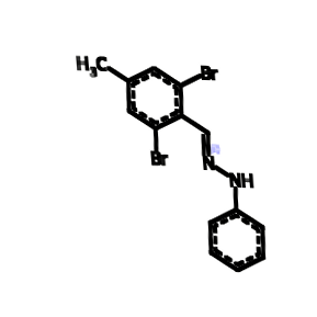 Cc1cc(Br)c(/C=N/Nc2ccccc2)c(Br)c1